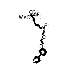 CCN(CC=CC#CC(OC)(C(F)(F)F)C(F)(F)F)CCOCCOc1cccc(-c2ccsc2)c1